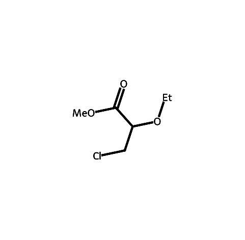 CCOC(CCl)C(=O)OC